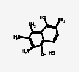 Cl.Nc1ccc2c(O)c(N)c(N)c(N)c2c1O